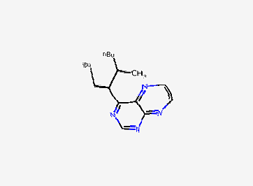 CCCCC(C)C(CC(C)CC)c1ncnc2nccnc12